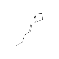 [CH]=CCCC.[C]1=CCC1